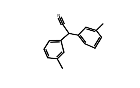 Cc1cccc(C(C#N)c2cccc(C)c2)c1